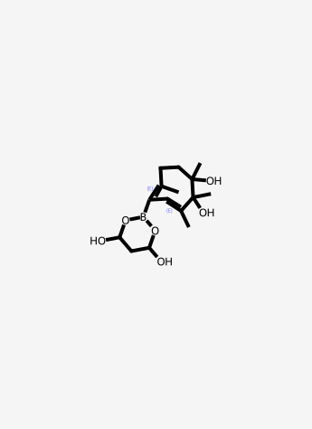 C/C1=C\C(B2OC(O)CC(O)O2)=C(/C)CCC(C)(O)C1(C)O